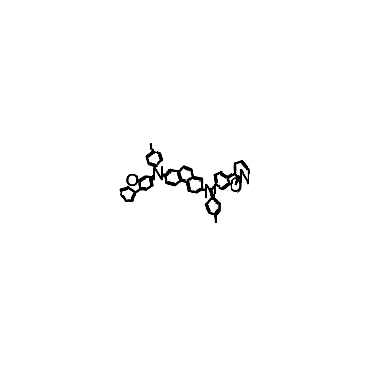 Cc1ccc(N(c2ccc3c(ccc4cc(N(c5ccc(C)cc5)c5ccc6c(c5)oc5ncccc56)ccc43)c2)c2ccc3c(c2)oc2ccccc23)cc1